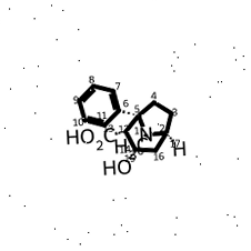 CN1[C@H]2CC[C@]1(c1ccccc1)[C@@H](C(=O)O)[C@@H](O)C2